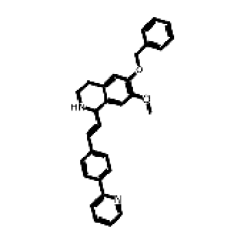 COc1cc2c(cc1OCc1ccccc1)CCNC2/C=C/c1ccc(-c2ccccn2)cc1